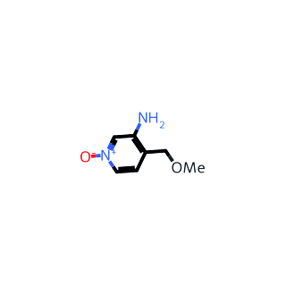 COCc1cc[n+]([O-])cc1N